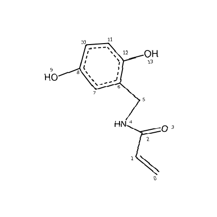 C=CC(=O)NCc1cc(O)ccc1O